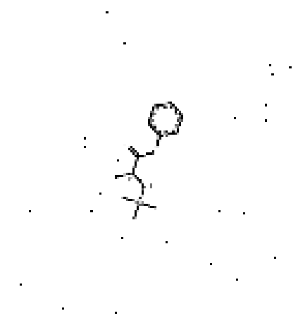 C[C@H](N[Si](C)(C)C)C(=O)Oc1ccccc1